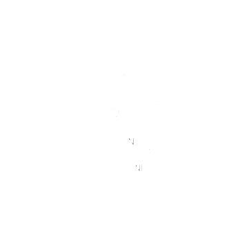 COc1cccc(Cc2sc(N)nc2COCC2COC2)c1